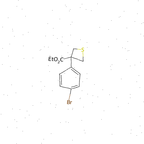 CCOC(=O)C1(c2ccc(Br)cc2)CSC1